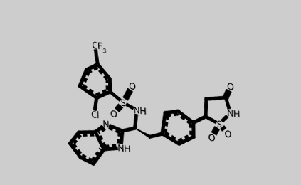 O=C1CC(c2ccc(C[C@H](NS(=O)(=O)c3cc(C(F)(F)F)ccc3Cl)c3nc4ccccc4[nH]3)cc2)S(=O)(=O)N1